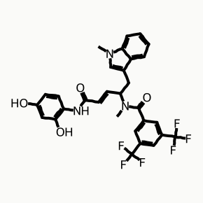 CN(C(=O)c1cc(C(F)(F)F)cc(C(F)(F)F)c1)C(C=CC(=O)Nc1ccc(O)cc1O)Cc1cn(C)c2ccccc12